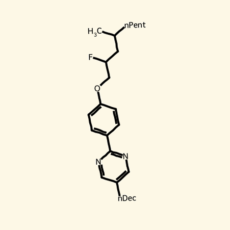 CCCCCCCCCCc1cnc(-c2ccc(OCC(F)CC(C)CCCCC)cc2)nc1